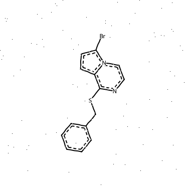 Brc1ccc2c(SCc3ccccc3)nccn12